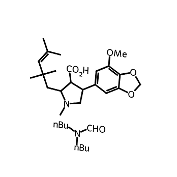 CCCCN(C=O)CCCC.COc1cc(C2CN(C)C(CC(C)(C)C=C(C)C)C2C(=O)O)cc2c1OCO2